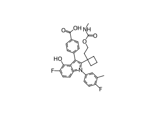 CNC(=O)OCCC1(c2c(-c3ccc(C(=O)O)cc3)c3c(O)c(F)ccc3n2-c2ccc(F)c(C)c2)CCC1